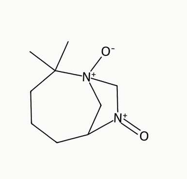 CC1(C)CCCC2C[N+]1([O-])C[N+]2=O